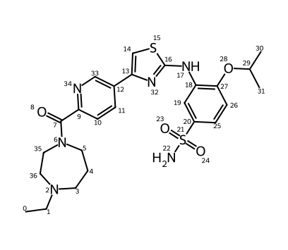 CCN1CCCN(C(=O)c2ccc(-c3csc(Nc4cc(S(N)(=O)=O)ccc4OC(C)C)n3)cn2)CC1